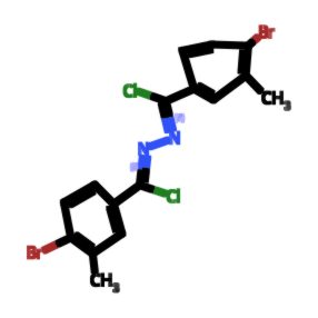 Cc1cc(/C(Cl)=N/N=C(\Cl)c2ccc(Br)c(C)c2)ccc1Br